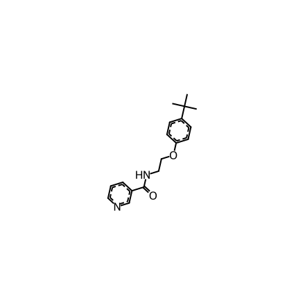 CC(C)(C)c1ccc(OCCNC(=O)c2cccnc2)cc1